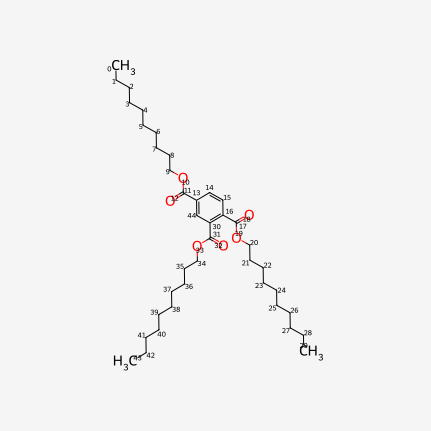 CCCCCCCCCCOC(=O)c1ccc(C(=O)OCCCCCCCCCC)c(C(=O)OCCCCCCCCCC)c1